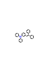 C(=C(c1ccccc1)c1ccccc1)c1cccc(N(c2ccccc2)c2ccccc2)c1